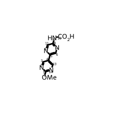 COc1ncc(-c2cnc(NC(=O)O)cn2)cn1